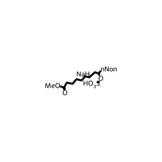 CCCCCCCCCC(CCCCCCCC(=O)OC)OS(=O)(=O)O.[NaH]